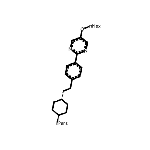 CCCCCCOc1cnc(-c2ccc(CC[C@H]3CC[C@H](CCCCC)CC3)cc2)nc1